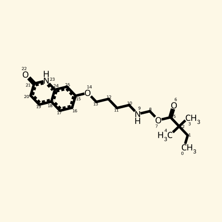 CCC(C)(C)C(=O)OCNCCCCOc1ccc2ccc(=O)[nH]c2c1